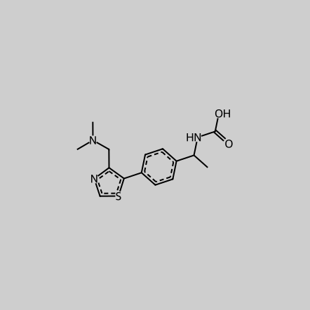 CC(NC(=O)O)c1ccc(-c2scnc2CN(C)C)cc1